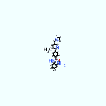 Cc1cc(CN2CCC2)cnc1-c1ccc(C(=O)Nc2ccccc2N)cc1